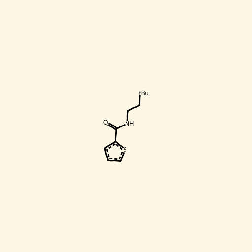 CC(C)(C)CCNC(=O)c1cccs1